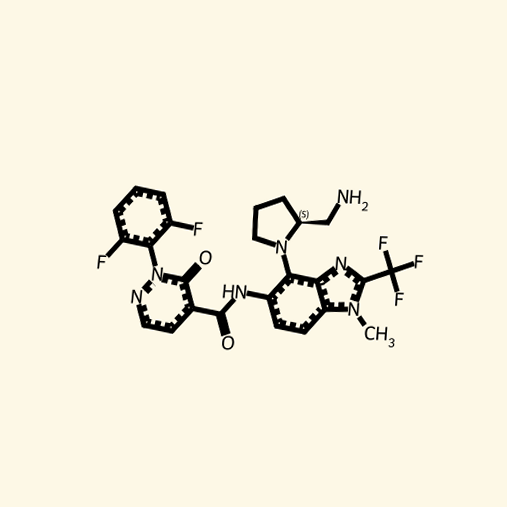 Cn1c(C(F)(F)F)nc2c(N3CCC[C@H]3CN)c(NC(=O)c3ccnn(-c4c(F)cccc4F)c3=O)ccc21